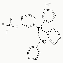 F[B-](F)(F)F.O=C(C[P+](c1ccccc1)(c1ccccc1)c1ccccc1)c1ccccc1.[H+]